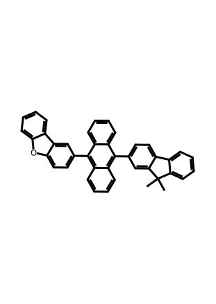 CC1(C)c2ccccc2-c2ccc(-c3c4ccccc4c(-c4ccc5oc6ccccc6c5c4)c4ccccc34)cc21